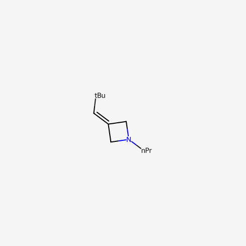 CCCN1CC(=CC(C)(C)C)C1